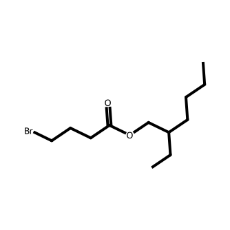 CCCCC(CC)COC(=O)CCCBr